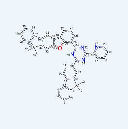 CC1(C)c2ccccc2-c2ccc(-c3nc(-c4ccccn4)nc(-c4cccc5c4oc4cc6c(cc45)-c4ccccc4C6(C)C)n3)cc21